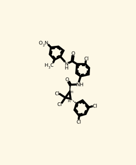 Cc1cc([N+](=O)[O-])ccc1NC(=O)c1cc(NC(=O)[C@H]2[C@H](c3cc(Cl)cc(Cl)c3)C2(Cl)Cl)ccc1Cl